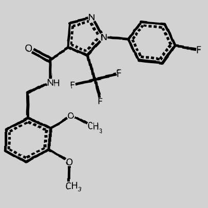 COc1cccc(CNC(=O)c2cnn(-c3ccc(F)cc3)c2C(F)(F)F)c1OC